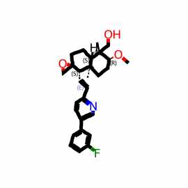 CO[C@@H]1CC[C@]2(C)[C@H](CCC3(CO3)[C@H]2/C=C/c2ccc(-c3cccc(F)c3)cn2)[C@]1(C)CO